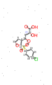 O=C(O)/C(O)=C/C(=O)c1ccoc1S(=O)(=O)c1ccc(Cl)cc1